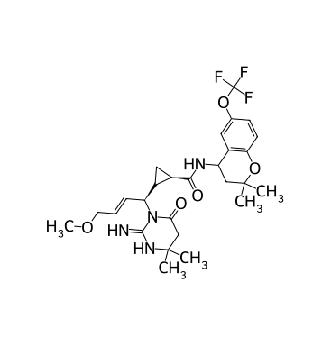 COC/C=C/[C@@H](C1C[C@H]1C(=O)NC1CC(C)(C)Oc2ccc(OC(F)(F)F)cc21)N1C(=N)NC(C)(C)CC1=O